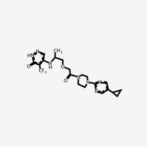 CC(COCC(=O)N1CCN(c2ncc(C3CC3)cn2)CC1)Nc1cn[nH]c(=O)c1C(F)(F)F